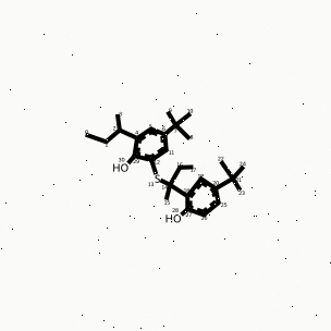 CCC(C)c1cc(C(C)(C)C)cc(SC(C)(CC)c2cc(C(C)(C)C)ccc2O)c1O